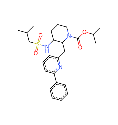 CC(C)CS(=O)(=O)NC1CCCN(C(=O)OC(C)C)C1Cc1cccc(-c2ccccc2)n1